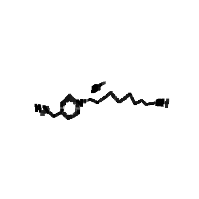 NCc1cc[n+](CCCCCCCCS)cc1.[Br-]